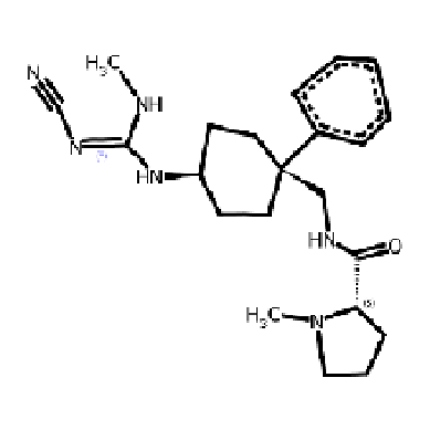 CN/C(=N\C#N)N[C@H]1CC[C@](CNC(=O)[C@@H]2CCCN2C)(c2ccccc2)CC1